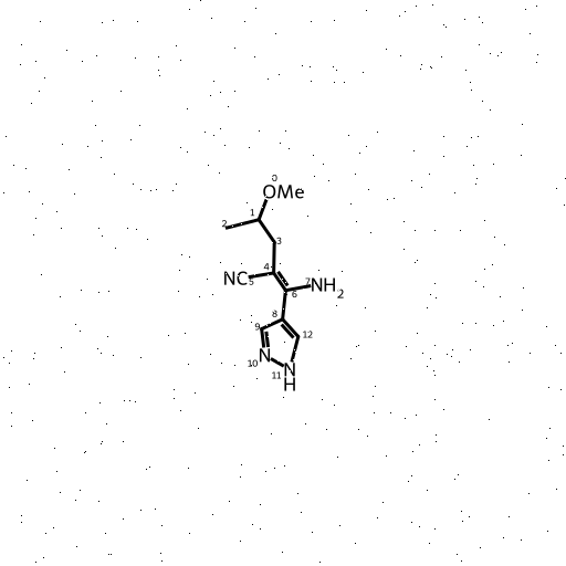 COC(C)C/C(C#N)=C(\N)c1cn[nH]c1